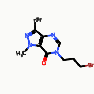 CCCc1nn(C)c2c(=O)n(CCCBr)cnc12